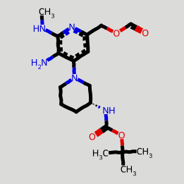 CNc1nc(COC=O)cc(N2CCC[C@@H](NC(=O)OC(C)(C)C)C2)c1N